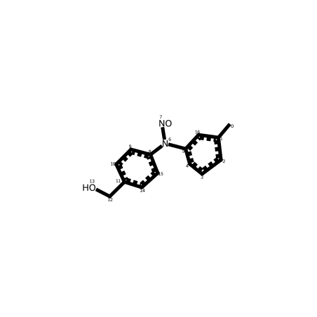 Cc1cccc(N(N=O)c2ccc(CO)cc2)c1